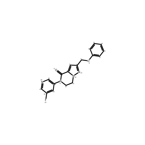 O=C1c2cc(COc3ccccc3)nn2CCN1c1cncc(F)c1